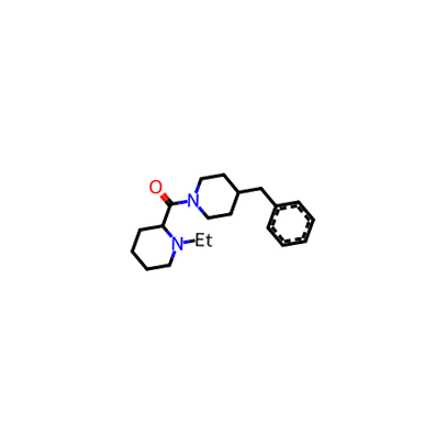 CCN1CCCCC1C(=O)N1CCC(Cc2ccccc2)CC1